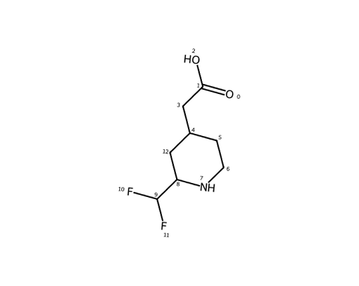 O=C(O)CC1CCNC(C(F)F)C1